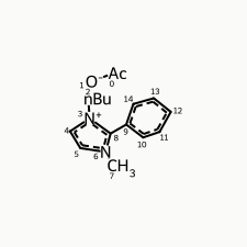 CC(=O)[O-].CCCC[n+]1ccn(C)c1-c1ccccc1